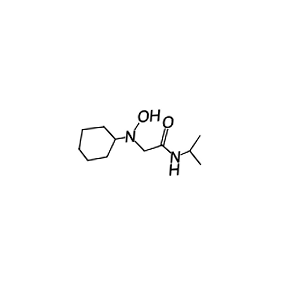 CC(C)NC(=O)CN(O)C1CCCCC1